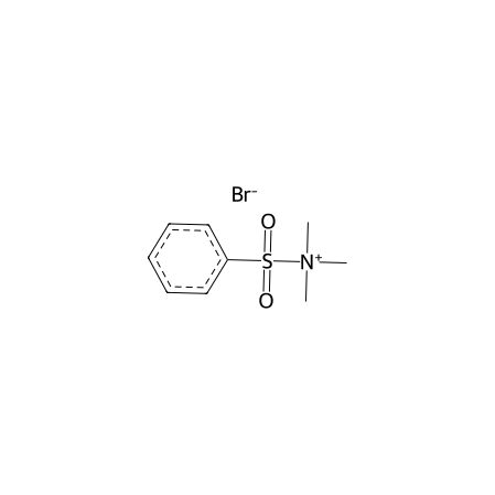 C[N+](C)(C)S(=O)(=O)c1ccccc1.[Br-]